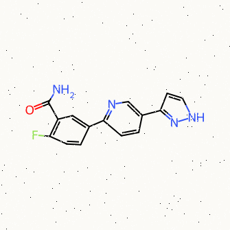 NC(=O)c1cc(-c2ccc(-c3cc[nH]n3)cn2)ccc1F